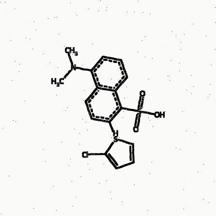 CN(C)c1cccc2c(S(=O)(=O)O)c([SH]3C=CC=C3Cl)ccc12